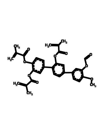 C=C(C)C(=O)Oc1ccc(-c2ccc(-c3ccc(OC)c(OC=O)c3)cc2OC(=O)C(=C)C)cc1OC(=O)C(=C)C